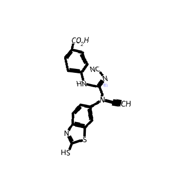 C#CN(/C(=N/C#N)Nc1ccc(C(=O)O)cc1)c1ccc2nc(S)sc2c1